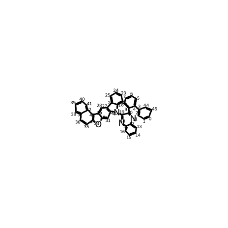 c1ccc(-c2ccccc2-c2nc3ccccc3nc2-n2c3ccccc3c3cc4c(cc32)oc2ccc3ccccc3c24)cc1